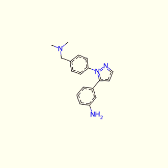 CN(C)Cc1ccc(-n2nccc2-c2cccc(N)c2)cc1